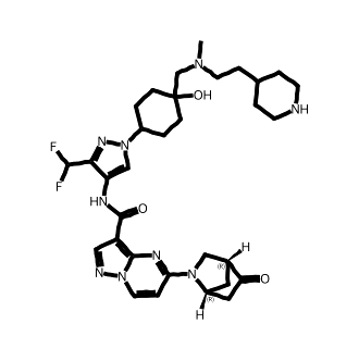 CN(CCC1CCNCC1)CC1(O)CCC(n2cc(NC(=O)c3cnn4ccc(N5C[C@H]6C[C@@H]5CC6=O)nc34)c(C(F)F)n2)CC1